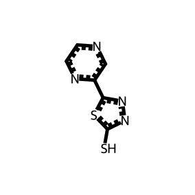 Sc1nnc(-c2cnccn2)s1